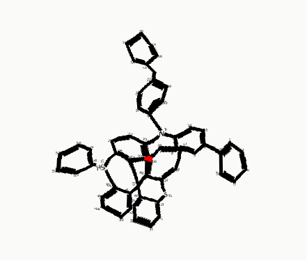 c1ccc(-c2ccc(N(c3ccc(-c4ccccc4)cc3)c3ccc4c(c3)C3(c5ccccc5Sc5ccccc53)c3ccccc3[SiH]4c3ccccc3)cc2)cc1